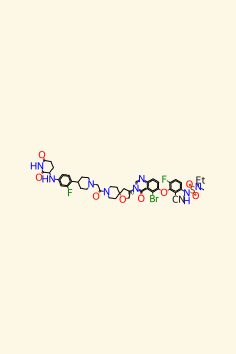 CCN(C)S(=O)(=O)Nc1ccc(F)c(Oc2ccc3ncn([C@H]4COC5(CCN(C(=O)CN6CCC(c7ccc(NC8CCC(=O)NC8=O)cc7F)CC6)CC5)C4)c(=O)c3c2Br)c1C#N